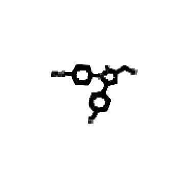 COc1ccc(-n2nc(CBr)cc2-c2ccc(Cl)cc2)cc1